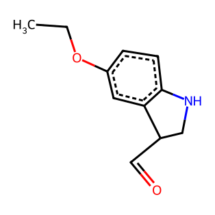 CCOc1ccc2c(c1)C(C=O)CN2